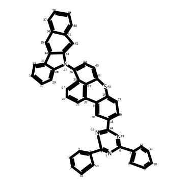 c1ccc(-c2nc(-c3ccccc3)nc(-c3ccc4c(c3)-c3cccc5c(-n6c7ccccc7c7cc8ccccc8cc76)ccc(c35)S4)n2)cc1